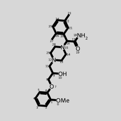 COc1ccccc1OCC(O)CN1CCN(C(C(N)=O)c2cc(C)ccc2C)CC1